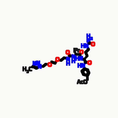 CC(=O)OCc1ccc(NC(=O)[C@H](CCCNC(N)=O)NC(=O)[C@@H](NC(=O)NCCOCCOCCn2cc(C)nn2)C(C)C)cc1